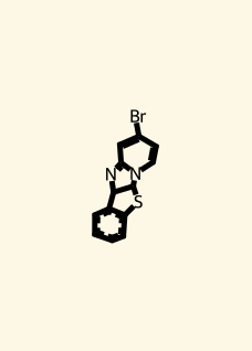 BrC1=CC2=NC3c4ccccc4SC3N2C=C1